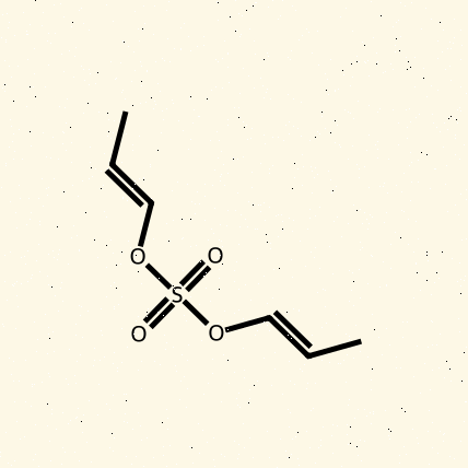 CC=COS(=O)(=O)OC=CC